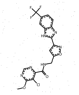 COc1ncnc(C(=O)NCc2cc(-c3nc4ccc(C(F)(F)F)cc4[nH]3)no2)c1Cl